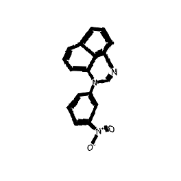 O=[N+]([O-])c1cccc(N2C=Nc3cccc4cccc2c34)c1